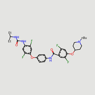 CCCCN1CCC(Oc2cc(F)c(C(=O)Nc3ccc(Oc4cc(F)c(NC(=O)NC(CC)CC)cc4F)cc3)cc2F)CC1